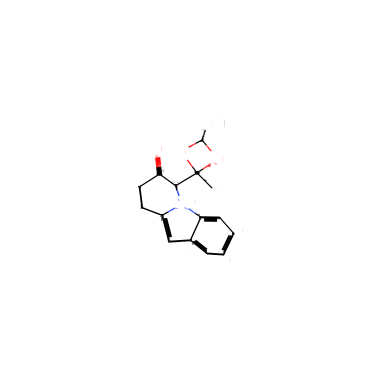 CCCC1OC(C)(C2C(=O)CCc3cc4ccccc4n32)O1